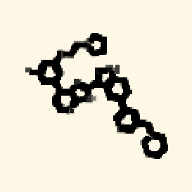 Fc1cc(OCCN2CCCC2)cc(-c2ccnc3[nH]c(-c4n[nH]c5ccc(-c6cncc(CN7CCCCC7)c6)cc45)nc23)c1